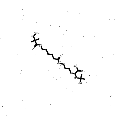 CCC(C)(C)N[C@@H](CCCCNC(=O)CCCCCNC(=O)C(C)(C)CC(C)(C)C)C(=O)C(C)(C)C